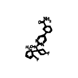 CN(c1ncc(-c2cccc(C(N)=O)c2)cn1)[C@]1(c2ncccc2F)C[C@@H](F)C1